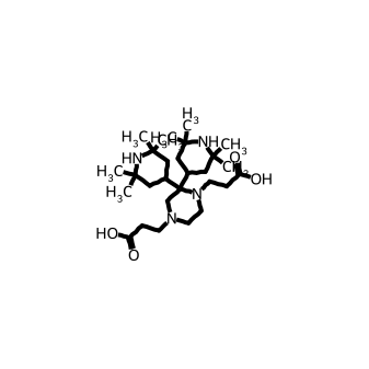 CC1(C)CC(C2(C3CC(C)(C)NC(C)(C)C3)CN(CCC(=O)O)CCN2CCC(=O)O)CC(C)(C)N1